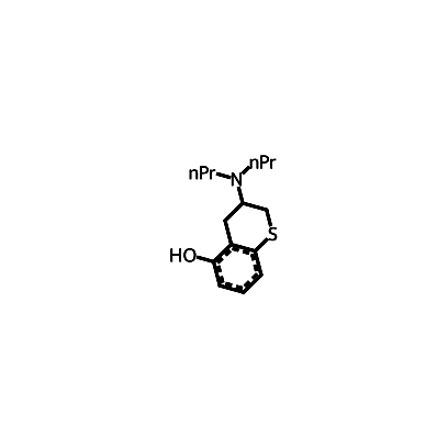 CCCN(CCC)C1CSc2cccc(O)c2C1